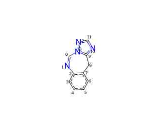 C1=Nc2ccccc2Cc2ncnn21